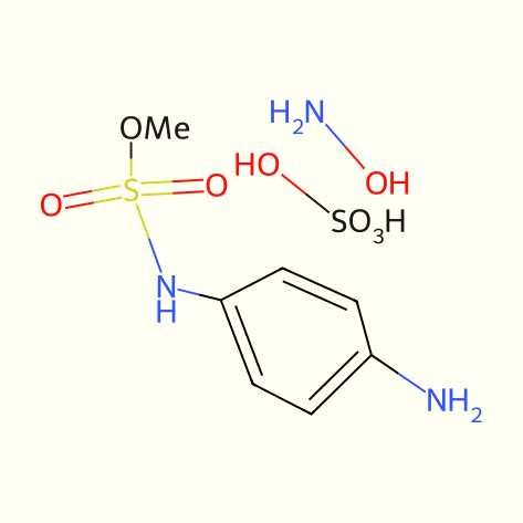 COS(=O)(=O)Nc1ccc(N)cc1.NO.O=S(=O)(O)O